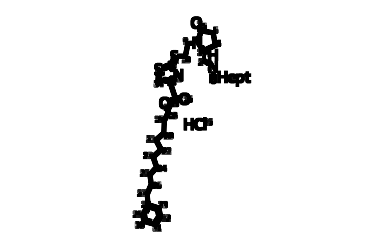 CCCCCCCNC[C@H]1CCC(=O)N1CCSc1nc(C(=O)OCCCCCCCCCCc2ccccc2)cs1.Cl